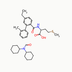 CCc1ccc(C(=O)NC(CCSC)C(=O)O)c(-c2ccccc2C)c1.O=CN(C1CCCCC1)C1CCCCC1